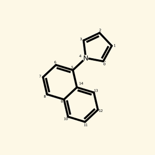 [c]1cccn1-c1cccc2ccccc12